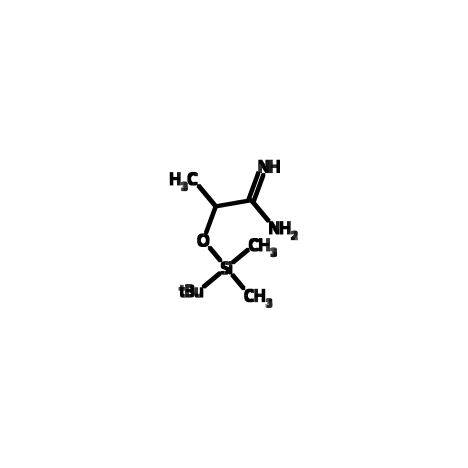 CC(O[Si](C)(C)C(C)(C)C)C(=N)N